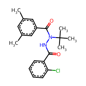 Cc1cc(C)cc(C(=O)N(NC(=O)c2ccccc2Cl)C(C)(C)C)c1